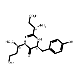 CSCC[C@H](NC(=O)[C@H](Cc1ccc(O)cc1)NC(=O)[C@@H](N)CC(=O)O)C(=O)O